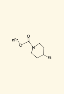 CCCOC(=O)N1CCC(CC)CC1